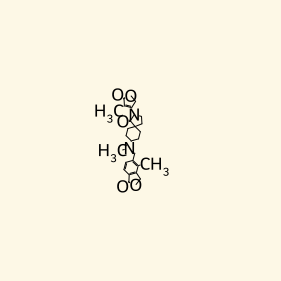 CC1=C(N2CCC3(CCC(N(C)Cc4ccc5c(c4C)COC5=O)CC3)C2=O)COC1=O